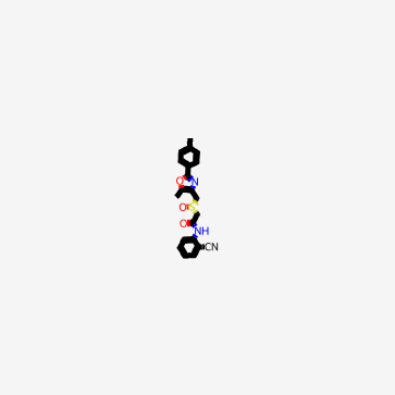 Cc1ccc(-c2nc(C[S+]([O-])CC(=O)Nc3ccccc3C#N)c(C)o2)cc1